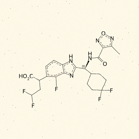 Cc1nonc1C(=O)N[C@H](c1nc2c(F)c(C(CC(F)F)C(=O)O)ccc2[nH]1)C1CCC(F)(F)CC1